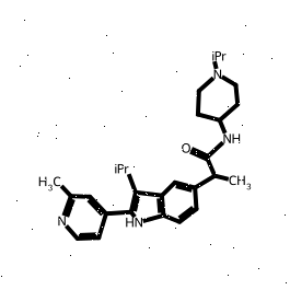 Cc1cc(-c2[nH]c3ccc(C(C)C(=O)NC4CCN(C(C)C)CC4)cc3c2C(C)C)ccn1